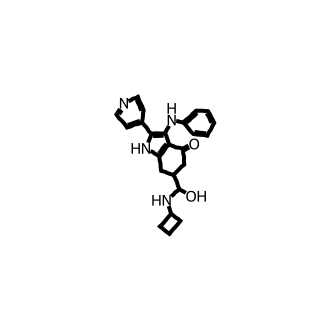 O=C1CC(C(O)NC2CCC2)Cc2[nH]c(-c3ccncc3)c(Nc3ccccc3)c21